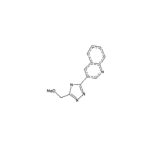 COCC1=NN=C(c2cnc3ccccc3c2)[N]1